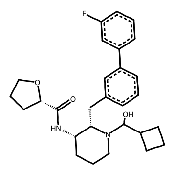 O=C(N[C@H]1CCCN(C(O)C2CCC2)[C@H]1Cc1cccc(-c2cccc(F)c2)c1)[C@@H]1CCCO1